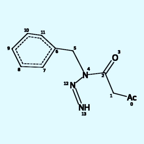 CC(=O)CC(=O)N(Cc1ccccc1)N=N